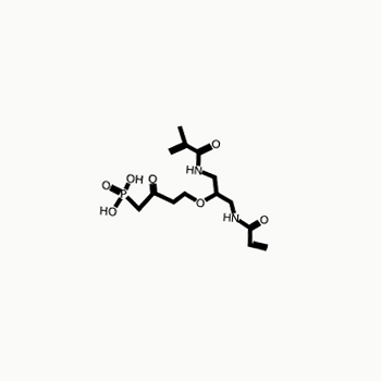 C=CC(=O)NCC(CNC(=O)C(=C)C)OCCC(=O)CP(=O)(O)O